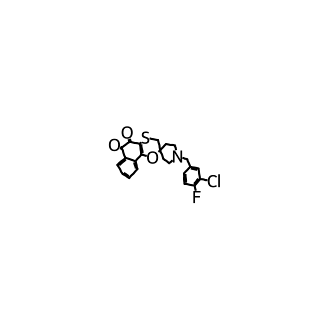 O=C1C(=O)c2ccccc2C2=C1SCC1(CCN(Cc3ccc(F)c(Cl)c3)CC1)O2